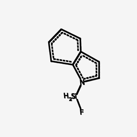 F[SiH2]n1ccc2ccccc21